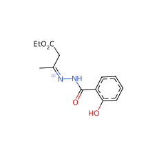 CCOC(=O)C/C(C)=N\NC(=O)c1ccccc1O